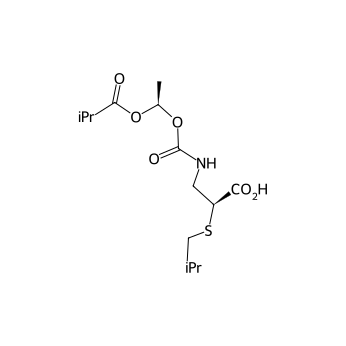 CC(C)CS[C@@H](CNC(=O)O[C@H](C)OC(=O)C(C)C)C(=O)O